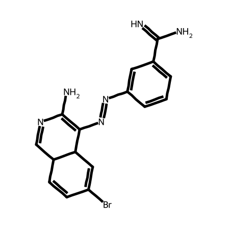 N=C(N)c1cccc(/N=N/C2=C(N)N=CC3C=CC(Br)=CC23)c1